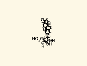 C[C@]12CC[C@H]3C(=CCC4=C3CC[C@H](OC3O[C@H](C(=O)O)[C@@H](O)[C@H](O)[C@H]3O)C4)[C@@H]1CCC2=O